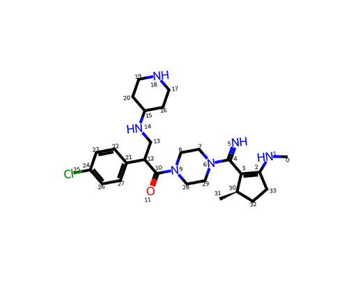 CNC1=C(C(=N)N2CCN(C(=O)C(CNC3CCNCC3)c3ccc(Cl)cc3)CC2)[C@H](C)CC1